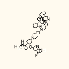 CNC(=O)c1ccc(N2CCC3(CC2)CC(N2CCN(Cc4cc5c(cn4)OCCO5)C[C@H]2c2ccccc2C(C)C)C3)cc1Oc1cnc2[nH]cc(F)c2c1